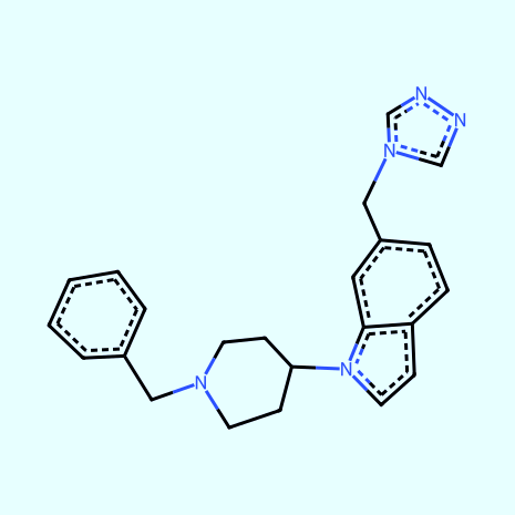 c1ccc(CN2CCC(n3ccc4ccc(Cn5cnnc5)cc43)CC2)cc1